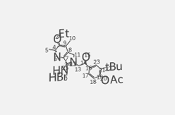 Br.CCOc1c(C)nc2c(c1C)CN(CC(=O)c1ccc(OC(C)=O)c(C(C)(C)C)c1)C2=N